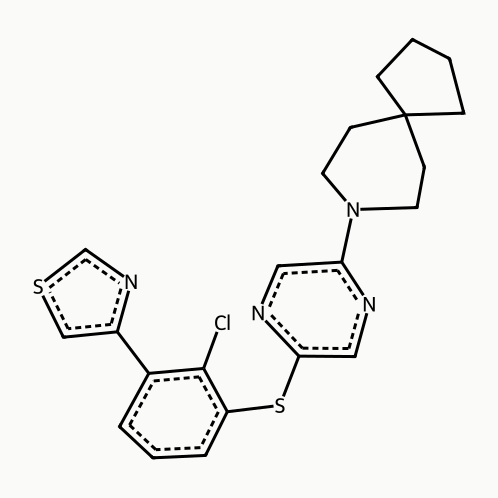 Clc1c(Sc2cnc(N3CCC4(CCCC4)CC3)cn2)cccc1-c1cscn1